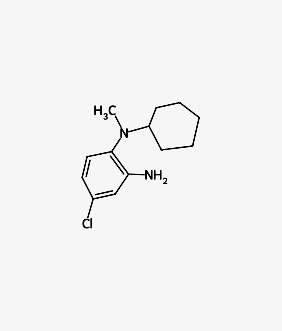 CN(c1ccc(Cl)cc1N)C1CCCCC1